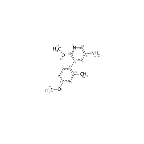 COc1ccc(-c2cc(N)cnc2OC)c(C)c1